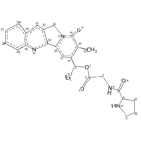 CCC(OC(=O)CNC(=O)C1CCCN1)c1cc2n(c(=O)c1C)Cc1cc3ccccc3nc1-2